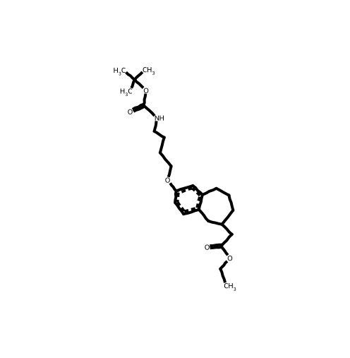 CCOC(=O)CC1CCCc2cc(OCCCCNC(=O)OC(C)(C)C)ccc2C1